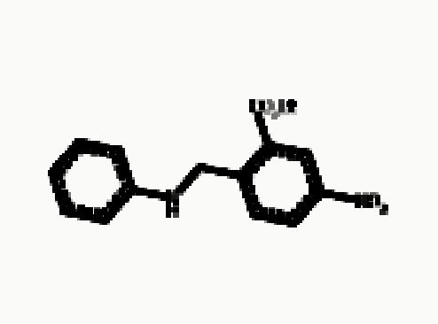 CCOC(=O)c1cc([N+](=O)[O-])ccc1CNc1ccccc1